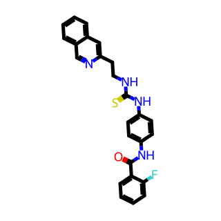 O=C(Nc1ccc(NC(=S)NCCc2cc3ccccc3cn2)cc1)c1ccccc1F